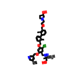 Cc1c(COCCN2CCC(O)C2)cccc1-c1cccc(COc2cc(OCc3cncc(C#N)c3)c(CNC(C)(CO)C(=O)O)cc2Cl)c1C